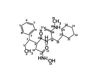 CCC(c1ccccc1)C(CC(=O)NO)C(=O)NC(CC1CCCCC1)C(=S)NC